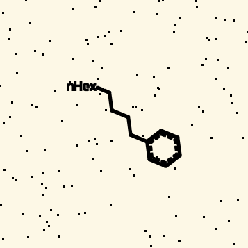 [CH2]CCCCCCCCCc1ccccc1